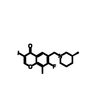 Cc1c(F)c(CN2CCC[C@H](C)C2)cc2c(=O)c(I)coc12